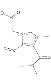 C=Nc1c(C(=O)N(C)C)c(I)cn1CC(=O)O